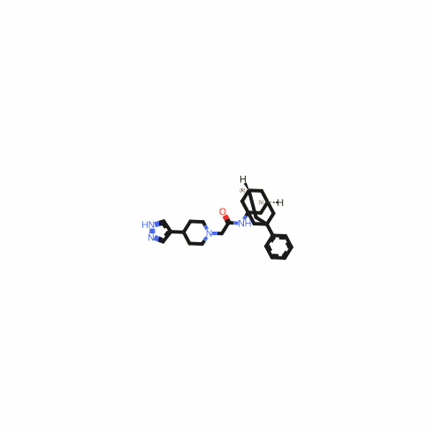 O=C(CN1CCC(c2cn[nH]c2)CC1)NC12C[C@H]3C[C@@H](C1)CC(c1ccccc1)(C3)C2